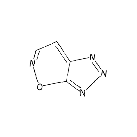 c1cc2nnnc-2on1